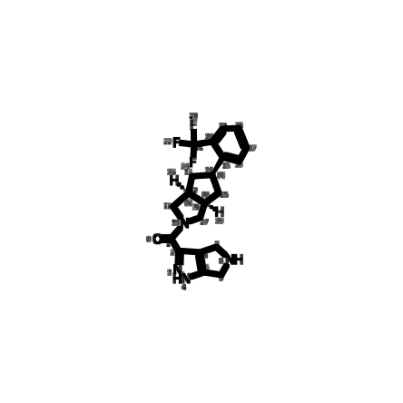 O=C(c1n[nH]c2c1CNC2)N1C[C@H]2C[C@@H](c3ccccc3C(F)(F)F)C[C@H]2C1